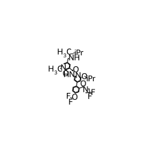 CC(C)Oc1cc(-c2ccc(OC(F)F)cc2C(=O)N2CC(F)(F)C2)cc(NC(=O)c2cc(CN[C@@H](C)C(C)C)cn(C)c2=O)n1